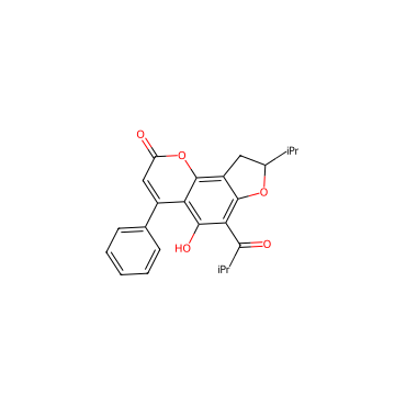 CC(C)C(=O)c1c2c(c3oc(=O)cc(-c4ccccc4)c3c1O)CC(C(C)C)O2